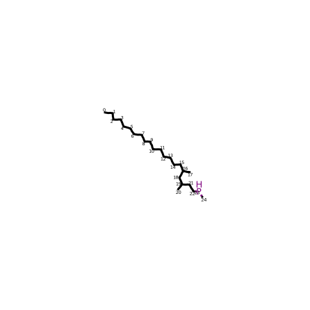 CCCCCCCCCCCCCCCCC(C)CC(C)CCPC